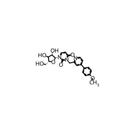 COc1ccc(-c2ccnc(Cn3c(=O)ccn([C@@H]4O[C@H](CO)C(O)[C@@H]4O)c3=O)c2)cc1